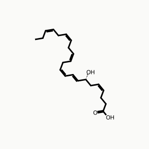 CC/C=C\C/C=C\C/C=C\C/C=C\C=C\[C@H](O)C/C=C\CCC(=O)O